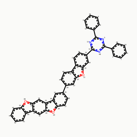 c1ccc(-c2nc(-c3ccccc3)nc(-c3ccc4c(c3)oc3cc(-c5ccc6oc7cc8c(cc7c6c5)oc5ccccc58)ccc34)n2)cc1